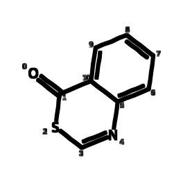 O=c1scnc2ccccc12